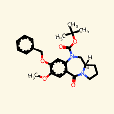 COc1cc2c(cc1OCc1ccccc1)N(C(=O)OC(C)(C)C)C[C@@H]1CCCN1C2=O